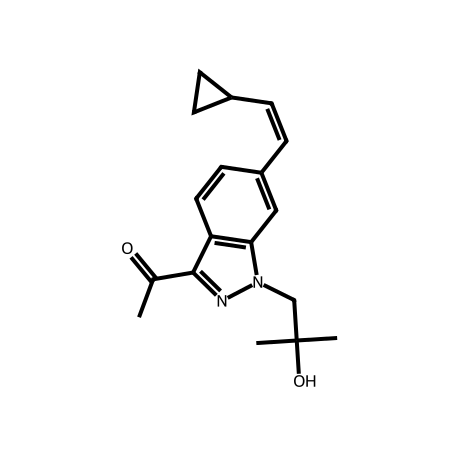 CC(=O)c1nn(CC(C)(C)O)c2cc(/C=C\C3CC3)ccc12